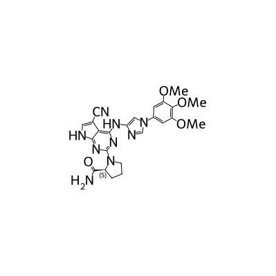 COc1cc(-n2cnc(Nc3nc(N4CCC[C@H]4C(N)=O)nc4[nH]cc(C#N)c34)c2)cc(OC)c1OC